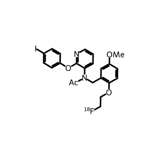 COc1ccc(OCC[18F])c(CN(C(C)=O)c2cccnc2Oc2ccc(I)cc2)c1